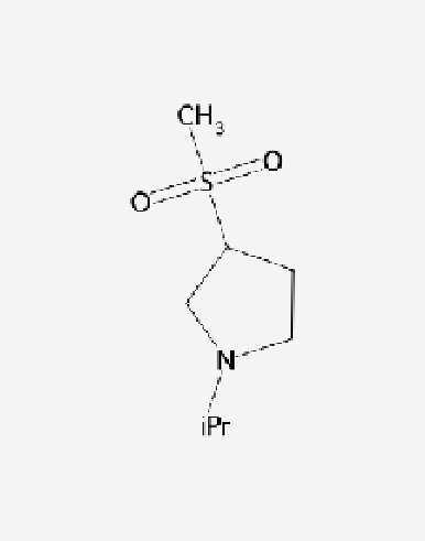 CC(C)N1CCC(S(C)(=O)=O)C1